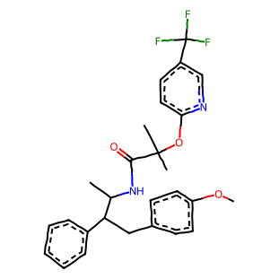 COc1ccc(CC(c2ccccc2)C(C)NC(=O)C(C)(C)Oc2ccc(C(F)(F)F)cn2)cc1